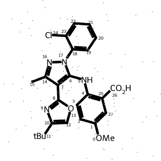 COc1ccc(Nc2c(-c3nc(C(C)(C)C)co3)c(C)nn2-c2ccccc2Cl)c(C(=O)O)c1